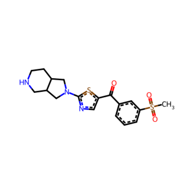 CS(=O)(=O)c1cccc(C(=O)c2cnc(N3CC4CCNCC4C3)s2)c1